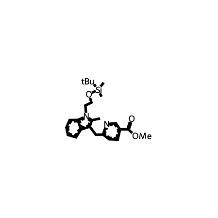 COC(=O)c1ccc(Cc2c(C)n(CCO[Si](C)(C)C(C)(C)C)c3ccccc23)nc1